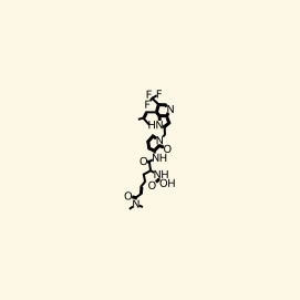 CC(C)=Cc1c(C(F)(F)F)cnc2cc(Cn3cccc(NC(=O)C(CC/C=C/C(=O)N(C)C)NC(=O)O)c3=O)[nH]c12